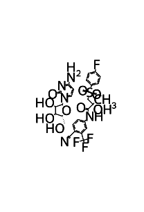 CC(O)(CS(=O)(=O)c1ccc(F)cc1)C(=O)Nc1ccc(C#N)c(C(F)(F)F)c1.Nc1ccn([C@@H]2O[C@H](CO)[C@@H](O)[C@@H]2O)c(=O)n1